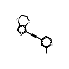 Cc1cc(C#Cc2scc3c2OCCO3)ccn1